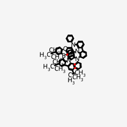 CC(C)(C)c1ccc2c(c1)B1c3c(cc(-n4c5c(N(c6ccccc6)c6ccccc6)cccc5c5cccc(N(c6ccccc6)c6ccccc6)c54)cc3-n3c4ccc(C(C)(C)C)cc4c4cc(C(C)(C)C)cc1c43)O2